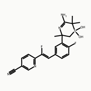 CC1(c2cc(C=C(F)c3ccc(C#N)cn3)ccc2F)CS(O)(O)C(C)(C)C(N)=N1